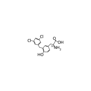 N[C@@H](Cc1ccc(O)c(Cc2cc(Cl)cc(Cl)c2)c1)C(=O)O